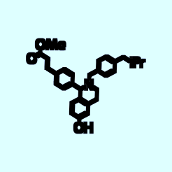 COC(=O)/C=C/c1ccc(C2c3ccc(O)cc3CCN2Cc2ccc(CC(C)C)cc2)cc1